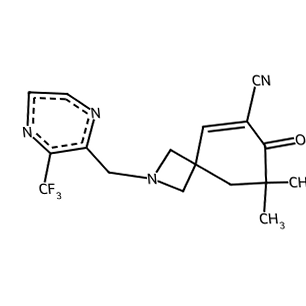 CC1(C)CC2(C=C(C#N)C1=O)CN(Cc1nccnc1C(F)(F)F)C2